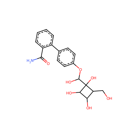 NC(=O)c1ccccc1-c1ccc(OC(O)C2(O)C(O)C(O)C2CO)cc1